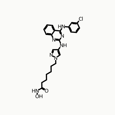 O=C(CCCCCCn1cc(Nc2nc(Nc3cccc(Cl)c3)c3ccccc3n2)cn1)NO